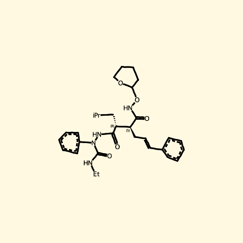 CCNC(=O)N(NC(=O)[C@H](CC(C)C)[C@H](CC=Cc1ccccc1)C(=O)NOC1CCCCO1)c1ccccc1